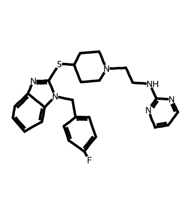 Fc1ccc(Cn2c(SC3CCN(CCNc4ncccn4)CC3)nc3ccccc32)cc1